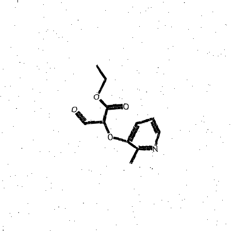 CCOC(=O)C(C=O)Oc1cccnc1C